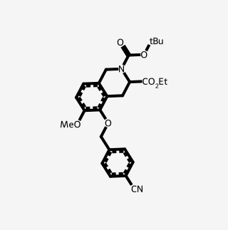 CCOC(=O)C1Cc2c(ccc(OC)c2OCc2ccc(C#N)cc2)CN1C(=O)OC(C)(C)C